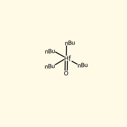 CCC[CH2][Hf](=[O])([CH2]CCC)([CH2]CCC)[CH2]CCC